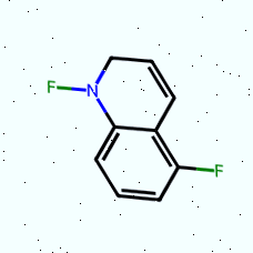 Fc1cccc2c1C=CCN2F